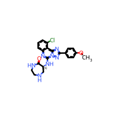 COc1ccc(-c2nc3c4c(Cl)cccc4nc(N[C@H]4CNCCNC4=O)n3n2)cc1